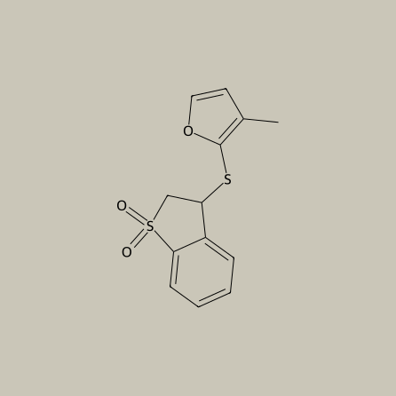 Cc1ccoc1SC1CS(=O)(=O)c2ccccc21